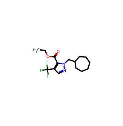 CCOC(=O)c1c(C(F)(F)F)cnn1CC1CCCCCC1